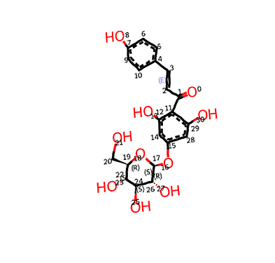 O=C(/C=C/c1ccc(O)cc1)c1c(O)cc(O[C@@H]2O[C@H](CO)[C@@H](O)[C@H](O)[C@H]2O)cc1O